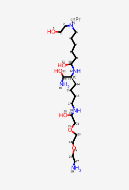 CCCN(CCO)CCCCCC(O)N[C@@H](CCCCNC(O)COCCOCCN)C(N)O